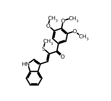 COc1cc(C(=O)C(=Cc2c[nH]c3ccccc23)SC)cc(OC)c1OC